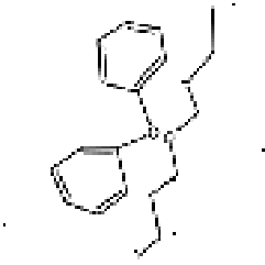 CCCCOCCCC.c1ccc(Oc2ccccc2)cc1